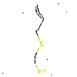 C=CCS[CH]S